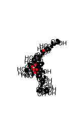 C=CC(C)(O)CC/C=C(\CO)C(=C)O[C@@H]1C(C)O[C@@H](O[C@](C)(C=C)CC/C=C(\CO)C(=O)O[C@H]2C[C@@]3(C(=O)O[C@@H]4OC(CO)[C@@H](O)[C@H](O)C4O[C@@H]4OC(C)[C@H](O[C@@H]5O[C@@H](CO)[C@H](O)[C@@H]5O)C(O[C@@H]5OC(CO)[C@@H](O)[C@H](O)C5O)[C@@H]4O)C(CC2(C)C)C2=CC(OO)C4[C@@]5(C)CC[C@H](O[C@@H]6OC(CO[C@@H]7OC(C)[C@H](O)[C@H](O)C7O[C@@H]7OC[C@@H](O)[C@H](O)C7O)[C@@H](O)[C@H](O)C6NC(C)=O)C(C)(C)C5CC[C@@]4(C)[C@]2(C)C[C@H]3O)C(O)[C@H]1O